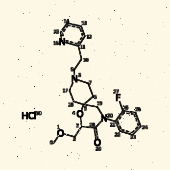 COCC1OC2(CCN(CCc3ccccn3)CC2)CN(c2ccccc2F)C1=O.Cl